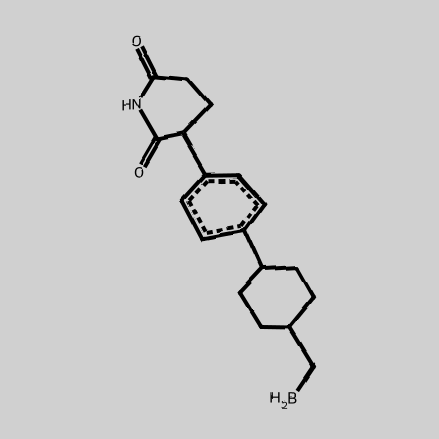 BCC1CCC(c2ccc(C3CCC(=O)NC3=O)cc2)CC1